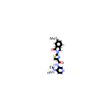 CCCN(CC)c1ccncc1NC(=O)c1csc(N2Cc3ccc(SC)cc3C2=O)n1